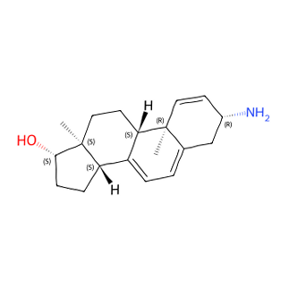 C[C@]12CC[C@H]3C(=CC=C4C[C@@H](N)C=C[C@@]43C)[C@@H]1CC[C@@H]2O